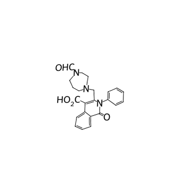 O=CN1CCCN(Cc2c(C(=O)O)c3ccccc3c(=O)n2-c2ccccc2)CC1